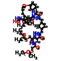 CCOC(C)SCC(=O)NCC(NC(=O)CSC(C)OCC)C(=O)NCc1ccc(CNC(=O)C2Cc3ccc(cc3)OCCCC(C(=O)NO)[C@@H](CC(C)C)C(=O)N2)cc1